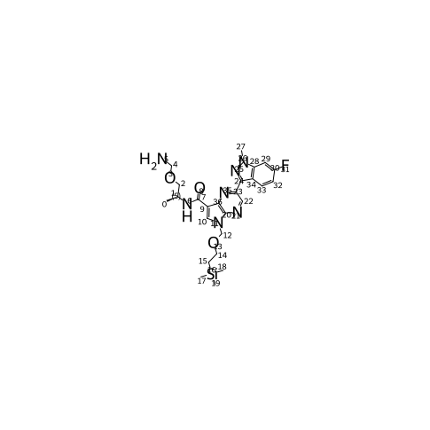 C[C@@H](COCN)NC(=O)c1cn(COCC[Si](C)(C)C)c2ncc(-c3nn(C)c4cc(F)ccc34)nc12